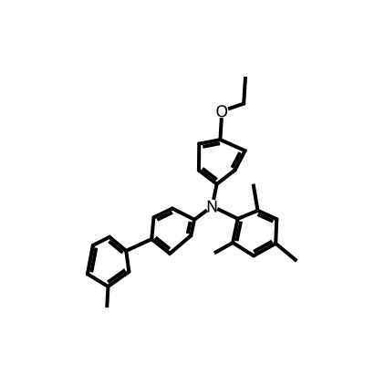 CCOc1ccc(N(c2ccc(-c3cccc(C)c3)cc2)c2c(C)cc(C)cc2C)cc1